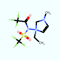 CC[N+]1(N(C(=O)C(F)(F)F)S(=O)(=O)C(F)(F)F)C=CN(C)C1